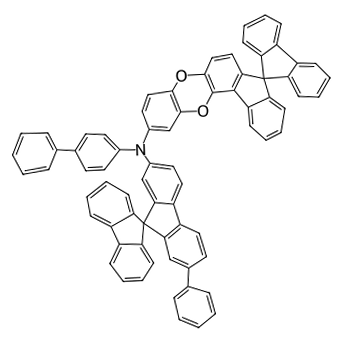 c1ccc(-c2ccc(N(c3ccc4c(c3)Oc3c(ccc5c3-c3ccccc3C53c5ccccc5-c5ccccc53)O4)c3ccc4c(c3)C3(c5ccccc5-c5ccccc53)c3cc(-c5ccccc5)ccc3-4)cc2)cc1